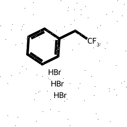 Br.Br.Br.FC(F)(F)Cc1ccccc1